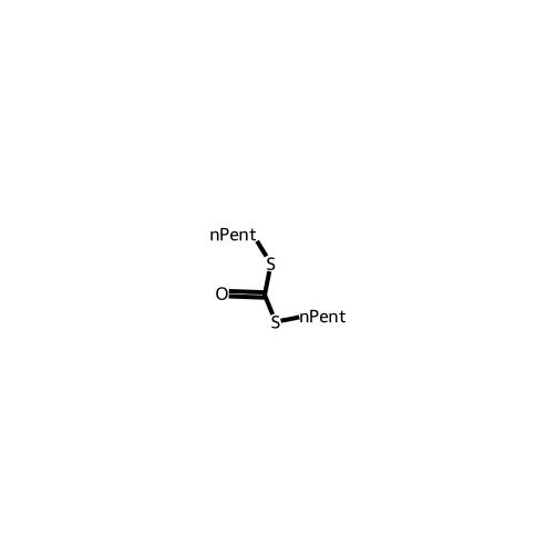 CCCCCSC(=O)SCCCCC